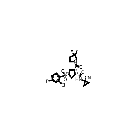 N#CC1(NC(=O)[C@@H]2C[C@@H](S(=O)(=O)c3ccc(F)cc3Cl)C[C@H]2C(=O)N2CCC(F)(F)C2)CC1